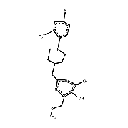 COCc1nc(CC2CCN(c3ccc(F)cc3C)CC2)nc(C)c1O